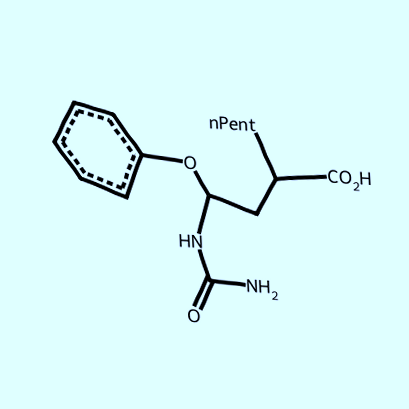 CCCCCC(CC(NC(N)=O)Oc1ccccc1)C(=O)O